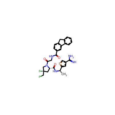 C[C@@H](NC(=O)[C@@H]1C[C@](F)(CF)CN1C(=O)CNC(=O)c1ccc2c(c1)-c1ccccc1C2)c1cc(C(=N)N)cs1